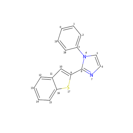 c1ccc(-n2ccnc2-c2cc3ccccc3s2)cc1